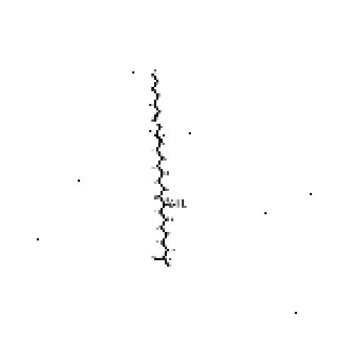 CCCCC/C=C/C/C=C/CCCCCCCC(N)CCCCCCC(C)C